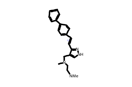 CNCCN(C)Cc1c[nH]nc1/C=C/c1ccc(-c2ccccc2)cc1